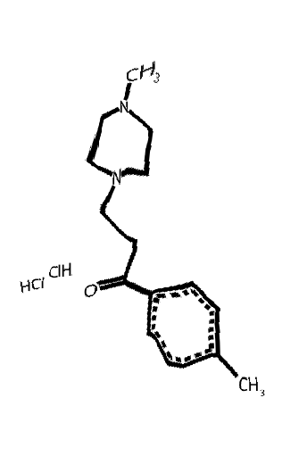 Cc1ccc(C(=O)CCN2CCN(C)CC2)cc1.Cl.Cl